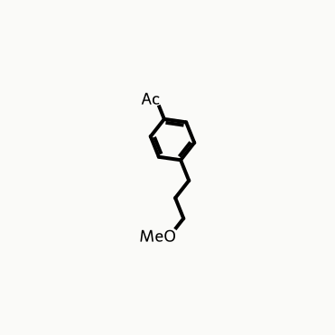 COCCCc1ccc(C(C)=O)cc1